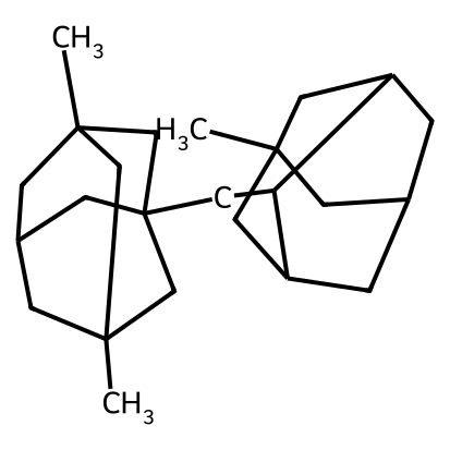 CC12CC3CC(C1)C(CC14CC5CC(C)(CC(C)(C5)C1)C4)C(C3)C2